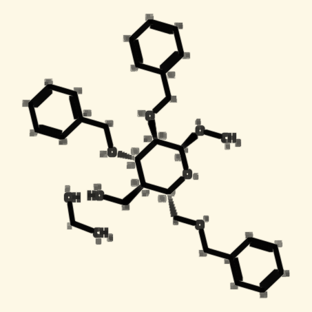 CCO.CO[C@H]1O[C@H](COCc2ccccc2)[C@@H](CO)[C@H](OCc2ccccc2)[C@H]1OCc1ccccc1